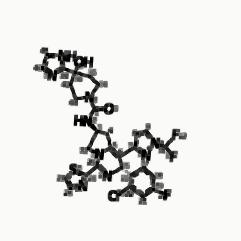 O=C(N[C@H]1CC2=C(c3ccn(C(F)F)n3)[C@H](c3ccc(F)cc3Cl)N=C(c3nccs3)N2C1)N1CCC(O)(c2ncc[nH]2)CC1